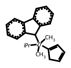 C[CH](C)[Zr]([CH3])([CH3])([C]1=CC=CC1)[CH]1c2ccccc2-c2ccccc21